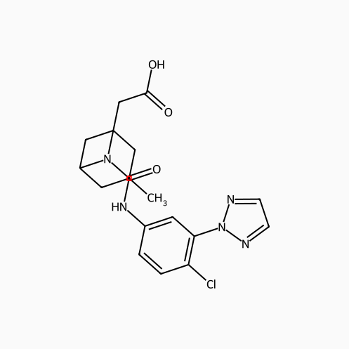 CC1CC2CC(CC(=O)O)(C1)N2C(=O)Nc1ccc(Cl)c(-n2nccn2)c1